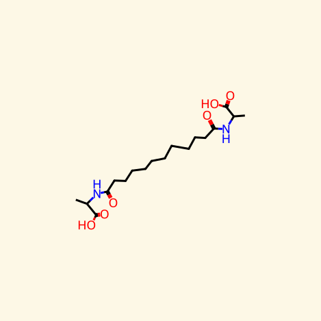 CC(NC(=O)CCCCCCCCCCC(=O)NC(C)C(=O)O)C(=O)O